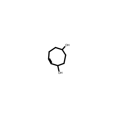 OC1/C=C\CCC(O)CC1